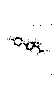 COC(=O)c1n[nH]c2nc(N3CCN(C)CC3)ccc12